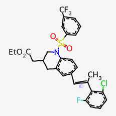 CCOC(=O)CC1Cc2cc(/C=C(\C)c3c(F)cccc3Cl)ccc2N(S(=O)(=O)c2cccc(C(F)(F)F)c2)C1